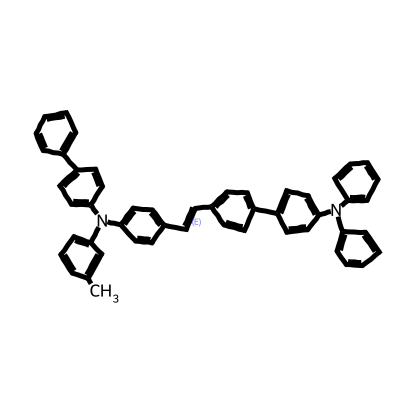 Cc1cccc(N(c2ccc(/C=C/c3ccc(-c4ccc(N(c5ccccc5)c5ccccc5)cc4)cc3)cc2)c2ccc(-c3ccccc3)cc2)c1